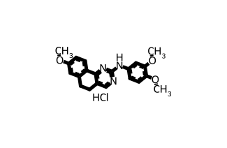 COc1ccc2c(c1)CCc1cnc(Nc3ccc(OC)c(OC)c3)nc1-2.Cl